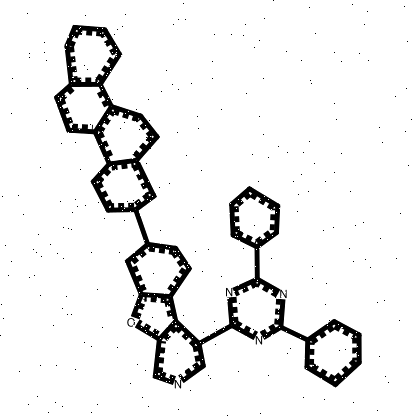 c1ccc(-c2nc(-c3ccccc3)nc(-c3cncc4oc5cc(-c6ccc7c(ccc8c9ccccc9ccc78)c6)ccc5c34)n2)cc1